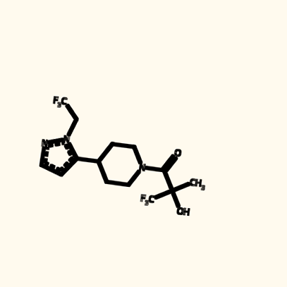 CC(O)(C(=O)N1CCC(c2ccnn2CC(F)(F)F)CC1)C(F)(F)F